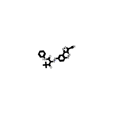 CC(C)(C)C(=O)C(/N=N/c1ccc2nnc3c(C#N)snc3c2c1)C(=O)Nc1ccccc1